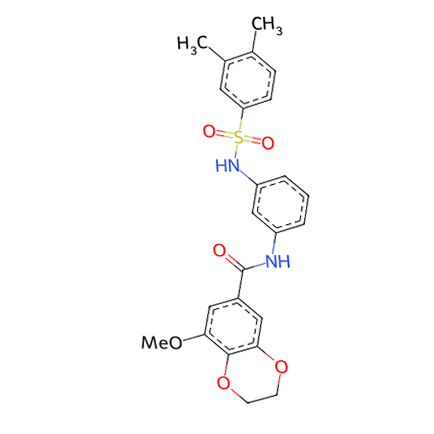 COc1cc(C(=O)Nc2cccc(NS(=O)(=O)c3ccc(C)c(C)c3)c2)cc2c1OCCO2